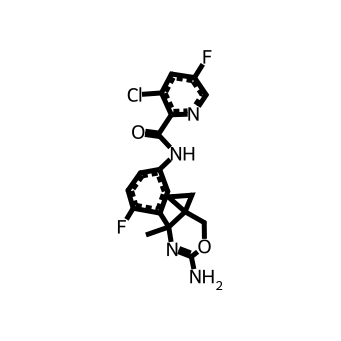 CC1(c2cc(NC(=O)c3ncc(F)cc3Cl)ccc2F)N=C(N)OCC12CC2